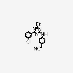 CCc1nc(Nc2ccc(CC#N)cc2)nc(-c2cccc(Cl)c2)n1